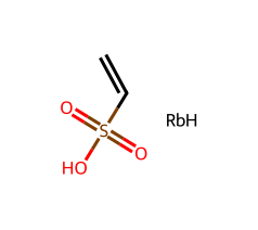 C=CS(=O)(=O)O.[RbH]